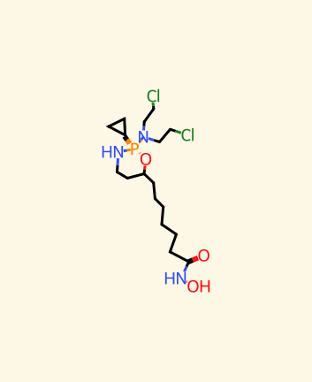 O=C(CCCCCCC1CCNP(=C2CC2)(N(CCCl)CCCl)O1)NO